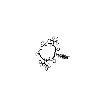 O=C1CCC(=O)CCN(C(C(=O)[O-])C(=O)[O-])CCC(=O)CCC(=O)CCN(C(C(=O)[O-])C(=O)[O-])CC1.[Na+].[Na+].[Na+].[Na+]